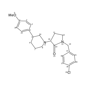 COc1ccc(C2CCCN(C3CCN(Cc4ccc(Cl)cc4)C3=O)C2)cc1